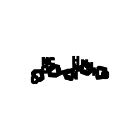 N#Cc1cc(-c2ccnc(Nc3ccc(N4CCOCC4)nn3)c2)ccc1OC1CCOCC1